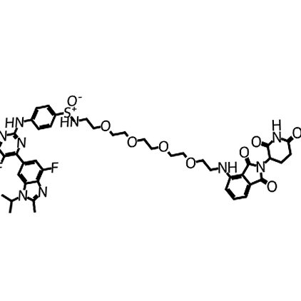 Cc1nc2c(F)cc(-c3nc(Nc4ccc([S+]([O-])NCCOCCOCCOCCOCCNc5cccc6c5C(=O)N(C5CCC(=O)NC5=O)C6=O)cc4)ncc3F)cc2n1C(C)C